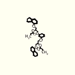 C=CC(=O)OC(COc1cccc(OCC(COc2cccc3ccccc23)OC(=O)C=C)c1)COc1cccc2ccccc12